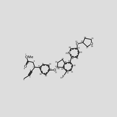 CC#CC(CC(=O)OC)c1ccc(O[C@@H]2CCc3c(-c4ccc(OC5CCOC5)cn4)ccc(F)c32)cc1